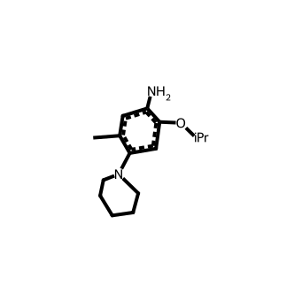 Cc1cc(N)c(OC(C)C)cc1N1CCCCC1